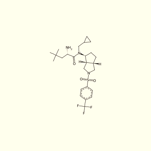 CC(C)(C)C[C@H](N)C(=O)N(CC1CC1)[C@H]1CC[C@@H]2CN(S(=O)(=O)c3ccc(C(F)(F)F)cc3)C[C@@H]21